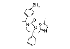 Bc1ccc([C@H](C)N2CC[C@](Cc3nnc(C)s3)(c3ccccc3)OC2=O)cc1